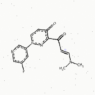 CN(C)/C=C/C(=O)c1nn(-c2cncc(F)c2)ccc1=O